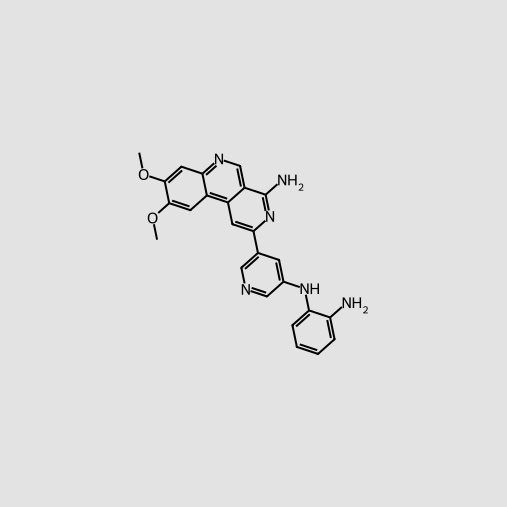 COc1cc2ncc3c(N)nc(-c4cncc(Nc5ccccc5N)c4)cc3c2cc1OC